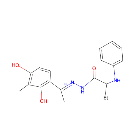 CCC(Nc1ccccc1)C(=O)N/N=C(\C)c1ccc(O)c(C)c1O